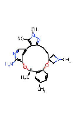 Cc1ccc2c(c1)[C@@H](C)Oc1cc(cnc1N)-c1c(nn(C)c1C#N)CCC1(CN(C)C1)O2